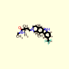 CCNC(=O)C(C)(C)CCN1CC[C@@H]2Cc3[nH]c4ccc(C(F)(F)F)cc4c3[C@H](C)[C@H]2C1